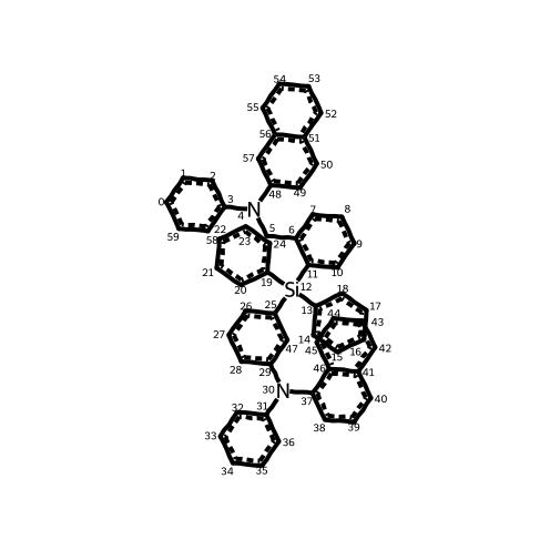 c1ccc(N(Cc2ccccc2[Si](c2ccccc2)(c2ccccc2)c2cccc(N(c3ccccc3)c3cccc4ccccc34)c2)c2ccc3ccccc3c2)cc1